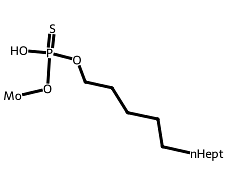 CCCCCCCCCCCCOP(O)(=S)[O][Mo]